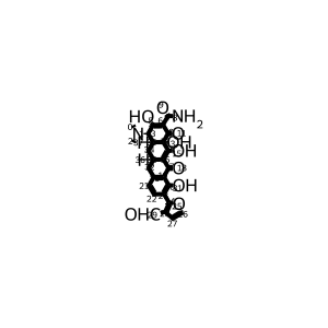 CN(C)[C@@H]1C(O)=C(C(N)=O)C(=O)[C@@]2(O)C(O)=C3C(=O)c4c(ccc(-c5occc5C=O)c4O)C[C@H]3C[C@@H]12